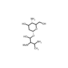 CNC(C(C)N)C(O)O[C@@H]1CC(O)[C@H](N)C(CO)O1